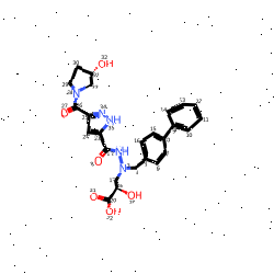 O=C(NN(Cc1ccc(-c2ccccc2)cc1)C[C@@H](O)C(=O)O)c1cc(C(=O)N2CC[C@H](O)C2)n[nH]1